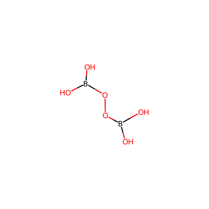 OB(O)OOB(O)O